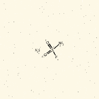 NS(=O)(=O)F.S